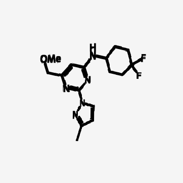 COCc1cc(NC2CCC(F)(F)CC2)nc(-n2ccc(C)n2)n1